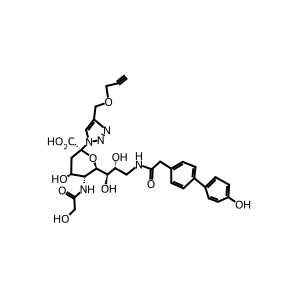 C#CCOCc1cn([C@]2(C(=O)O)C[C@H](O)[C@@H](NC(=O)CO)[C@H]([C@H](O)[C@H](O)CNC(=O)Cc3ccc(-c4ccc(O)cc4)cc3)O2)nn1